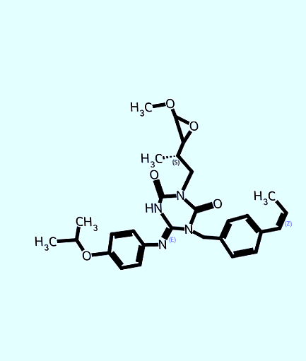 C/C=C\c1ccc(Cn2c(=O)n(C[C@H](C)C3OC3OC)c(=O)[nH]/c2=N\c2ccc(OC(C)C)cc2)cc1